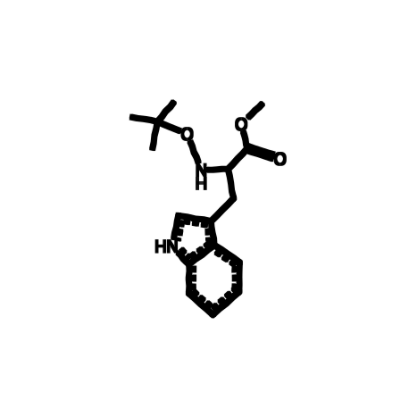 COC(=O)C(Cc1c[nH]c2ccccc12)NOC(C)(C)C